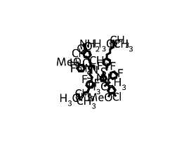 COc1cc(-n2c(C(C)(C)c3ccc(S(N)(=O)=O)c(Cl)c3)cnc2SCc2c(F)cc(CCC[N+](C)(C)C)cc2F)ccc1F.COc1cc(C(C)(C)c2cnc(SCc3c(F)cc(CCCC[N+](C)(C)C)cc3F)n2-c2ccc(F)cc2)ccc1Cl